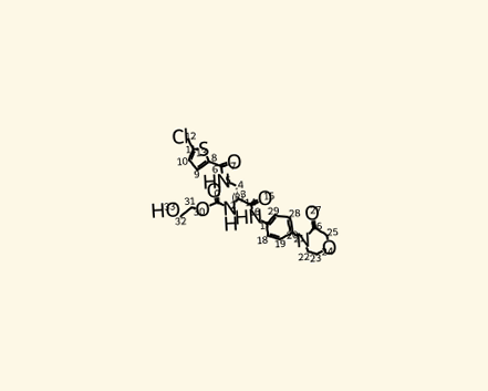 O=C(N[C@H](CNC(=O)c1ccc(Cl)s1)C(=O)Nc1ccc(N2CCOCC2=O)cc1)OCCO